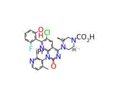 Cc1ccnc(C(C)C)c1-n1c(=O)nc(N2C[C@@H](C)N(C(=O)O)C[C@@H]2C)c2cc(Cl)c(-c3c(O)cccc3F)nc21